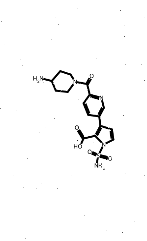 NC1CCN(C(=O)c2ccc(-c3ccn(S(N)(=O)=O)c3C(=O)O)cn2)CC1